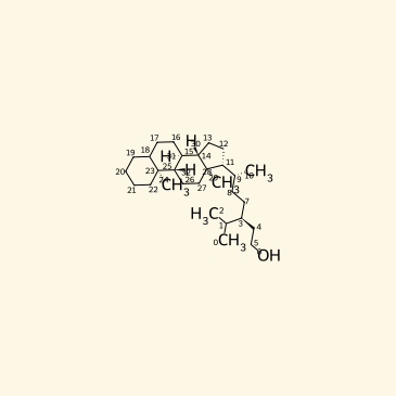 CC(C)[C@H](CCO)CC[C@@H](C)[C@H]1CC[C@H]2[C@@H]3CCC4CCCC[C@]4(C)[C@H]3CC[C@]12C